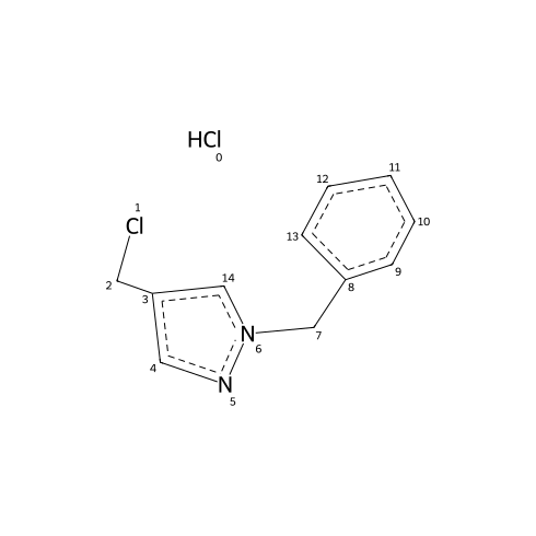 Cl.ClCc1cnn(Cc2ccccc2)c1